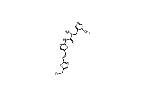 CC(C)Cc1cnc(/C=C/c2cnc(NC(=O)C(N)Cc3cncn3C)s2)o1